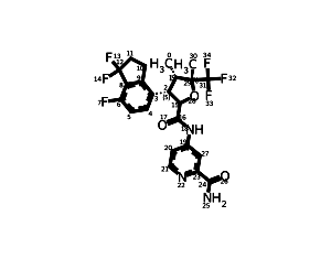 C[C@H]1[C@@H](c2ccc(F)c3c2CCC3(F)F)C(C(=O)Nc2ccnc(C(N)=O)c2)O[C@@]1(C)C(F)(F)F